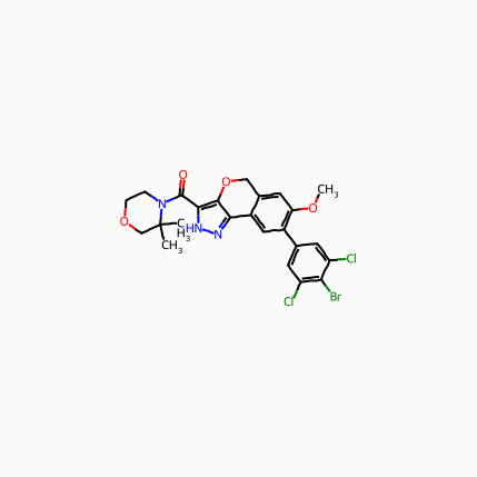 COc1cc2c(cc1-c1cc(Cl)c(Br)c(Cl)c1)-c1n[nH]c(C(=O)N3CCOCC3(C)C)c1OC2